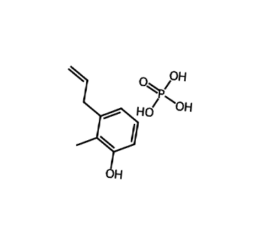 C=CCc1cccc(O)c1C.O=P(O)(O)O